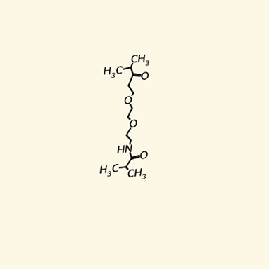 CC(C)C(=O)CCOCCOCCNC(=O)C(C)C